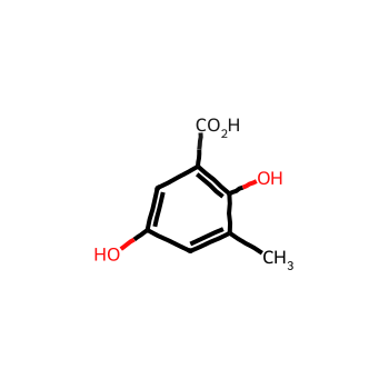 Cc1cc(O)cc(C(=O)O)c1O